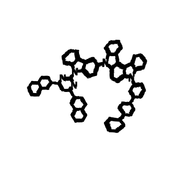 c1ccc(-c2ccc(-c3cccc(-n4c5ccccc5c5c6c7ccccc7n(-c7ccc8c(c7)c7ccccc7n8-c7nc(-c8ccc9ccccc9c8)cc(-c8ccc9ccccc9c8)n7)c6ccc54)c3)cc2)cc1